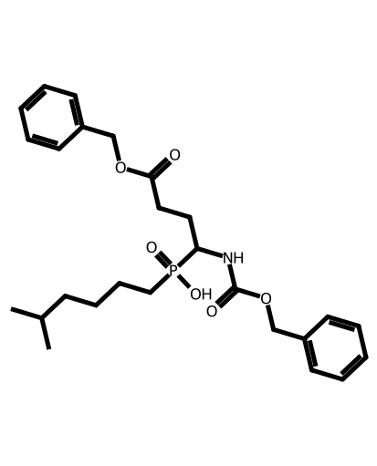 CC(C)CCCCP(=O)(O)C(CCC(=O)OCc1ccccc1)NC(=O)OCc1ccccc1